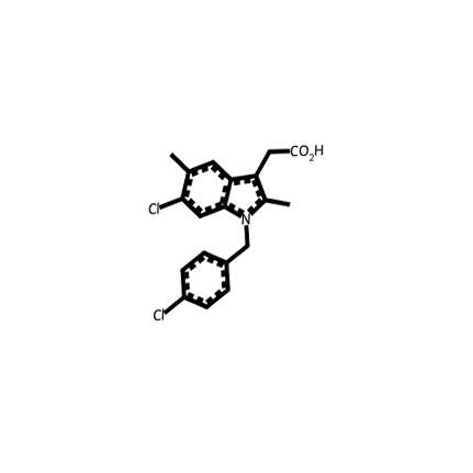 Cc1cc2c(CC(=O)O)c(C)n(Cc3ccc(Cl)cc3)c2cc1Cl